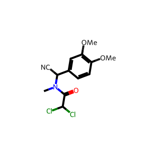 COc1ccc(C(C#N)N(C)C(=O)C(Cl)Cl)cc1OC